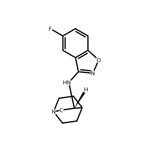 Fc1ccc2onc(N[C@H]3CN4CCC3CC4)c2c1